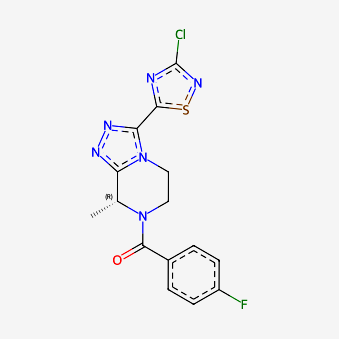 C[C@@H]1c2nnc(-c3nc(Cl)ns3)n2CCN1C(=O)c1ccc(F)cc1